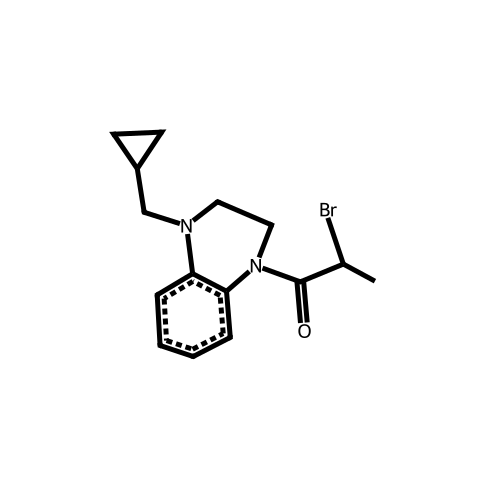 CC(Br)C(=O)N1CCN(CC2CC2)c2ccccc21